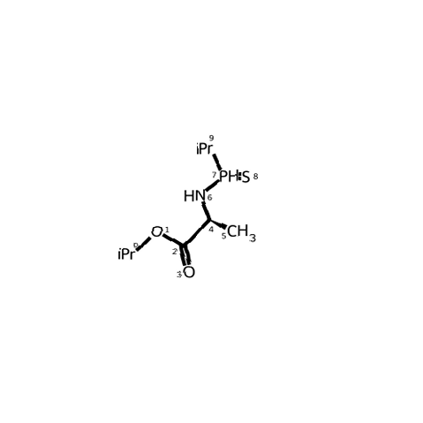 CC(C)OC(=O)[C@H](C)N[PH](=S)C(C)C